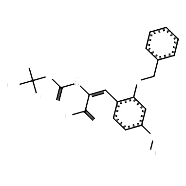 COc1ccc(/C=C(/NC(=O)OC(C)(C)C)C(=O)O)c(OCc2ccccc2)c1